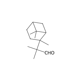 CC1(C)C2CCC(C)(C(C)(C)C=O)C1C2